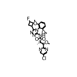 COc1cccc(OC)c1-n1c(NS(=O)(=O)[C@@H](C)[C@H](OC)c2ncc(Cl)cn2)nnc1C1CC(F)C1